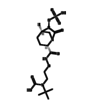 CC(C)(C)N(CCONC(=O)[C@@H]1CC[C@@H]2CN1C(=O)N2OS(=O)(=O)O)C(=O)O